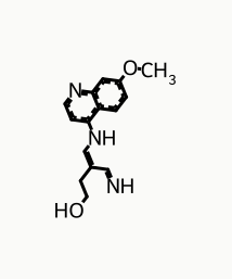 COc1ccc2c(N/C=C(\C=N)CCO)ccnc2c1